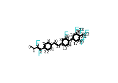 CC/C(F)=C(\F)c1ccc(/C=C/c2ccc(-c3cc(F)c(C(F)(F)F)c(F)c3)c(F)c2)cc1